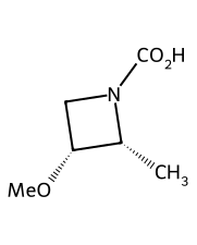 CO[C@@H]1CN(C(=O)O)[C@@H]1C